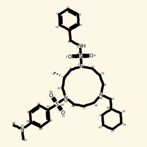 C[C@@H]1CN(S(=O)(=O)NCc2ccccc2)CCCN(CC2CCCCC2)CCCN(S(=O)(=O)c2ccc(N(C)C)cc2)C1